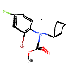 CC(C)(C)OC(=O)N(c1ccc(F)cc1Br)C1CCC1